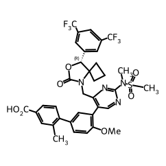 COc1ccc(-c2ccc(C(=O)O)cc2C)cc1-c1cnc(N(C)S(C)(=O)=O)nc1CN1C(=O)O[C@H](c2cc(C(F)(F)F)cc(C(F)(F)F)c2)C12CCC2